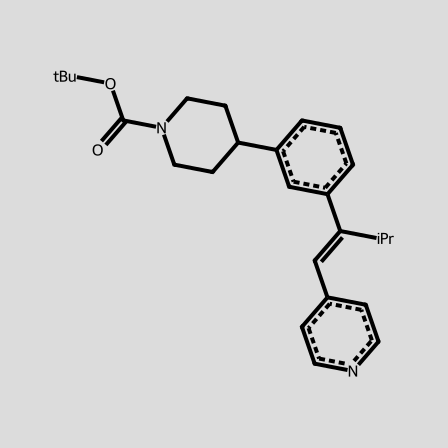 CC(C)/C(=C\c1ccncc1)c1cccc(C2CCN(C(=O)OC(C)(C)C)CC2)c1